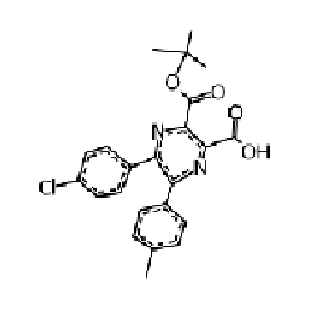 Cc1ccc(-c2nc(C(=O)O)c(C(=O)OC(C)(C)C)nc2-c2ccc(Cl)cc2)cc1